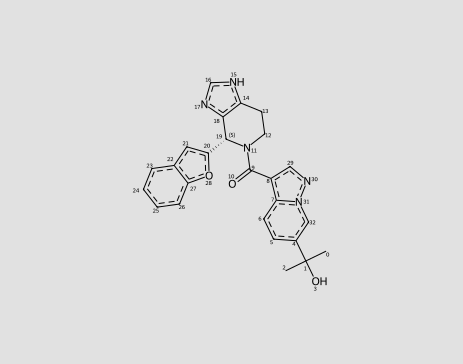 CC(C)(O)c1ccc2c(C(=O)N3CCc4[nH]cnc4[C@H]3c3cc4ccccc4o3)cnn2c1